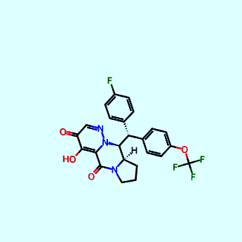 O=C1c2c(O)c(=O)cnn2[C@@H]([C@H](c2ccc(F)cc2)c2ccc(OC(F)(F)F)cc2)[C@H]2CCCN12